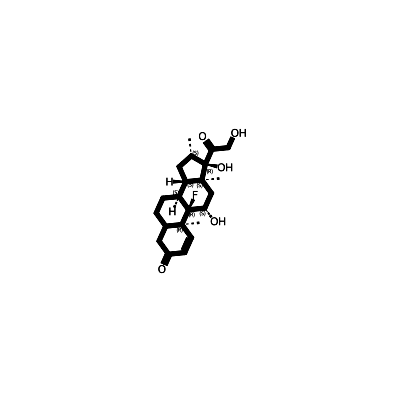 C[C@H]1C[C@H]2[C@@H]3CCC4CC(=O)C=C[C@]4(C)[C@@]3(F)[C@@H](O)C[C@]2(C)[C@@]1(O)C(=O)CO